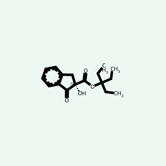 CCC(CC)(CC)OC(=O)[C@]1(O)Cc2ccccc2C1=O